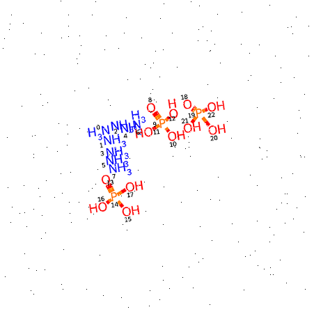 N.N.N.N.N.N.N.N.O=P(O)(O)O.O=P(O)(O)O.O=P(O)(O)O